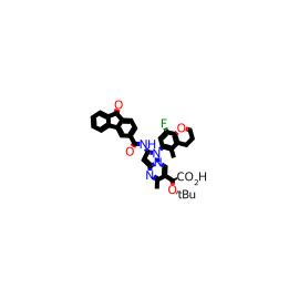 CC1=NC2=CC(NC(=O)c3ccc4c(c3)-c3ccccc3C4=O)N(c3cc(F)c4c(c3C)CCCO4)N2C=C1[C@H](OC(C)(C)C)C(=O)O